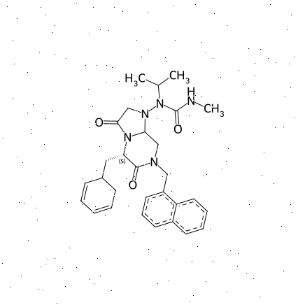 CNC(=O)N(C(C)C)N1CC(=O)N2C1CN(Cc1cccc3ccccc13)C(=O)[C@@H]2CC1C=CC=CC1